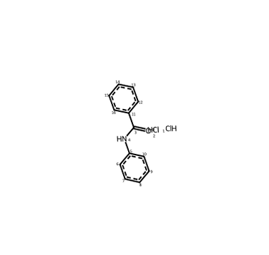 Cl.Cl.O=C(Nc1ccccc1)c1ccccc1